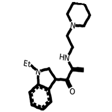 C=C(NCCN1CCCCC1)C(=O)C1CN(CC)c2ccccc21